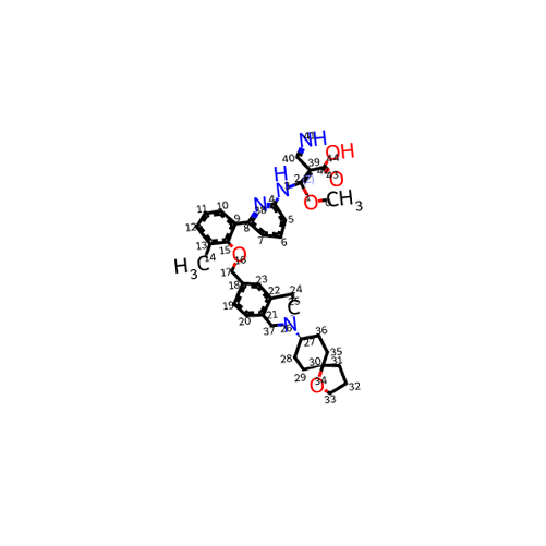 CO/C(Nc1cccc(-c2cccc(C)c2OCc2ccc3c(c2)CCN([C@H]2CC[C@]4(CCCO4)CC2)C3)n1)=C(/C=N)C(=O)O